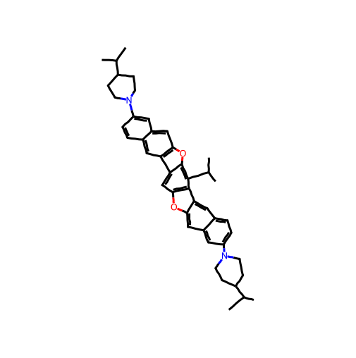 CC(C)c1c2oc3cc4cc(N5CCC(C(C)C)CC5)ccc4cc3c2cc2oc3cc4cc(N5CCC(C(C)C)CC5)ccc4cc3c12